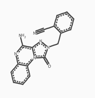 N#Cc1ccccc1Cn1nc2c(N)nc3ccccc3n2c1=O